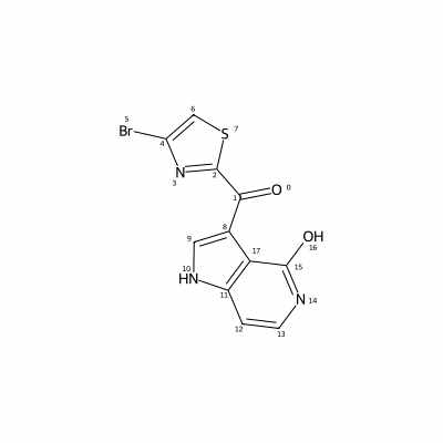 O=C(c1nc(Br)cs1)c1c[nH]c2ccnc(O)c12